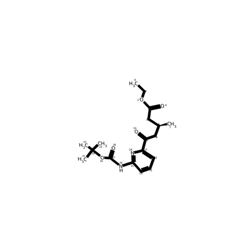 CCOC(=O)C[C@@H](C)CC(=O)c1cccc(NC(=O)OC(C)(C)C)n1